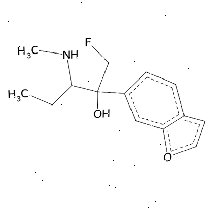 CCC(NC)C(O)(CF)c1ccc2ccoc2c1